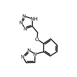 c1ccc(-n2ccnn2)c(OCc2nnn[nH]2)c1